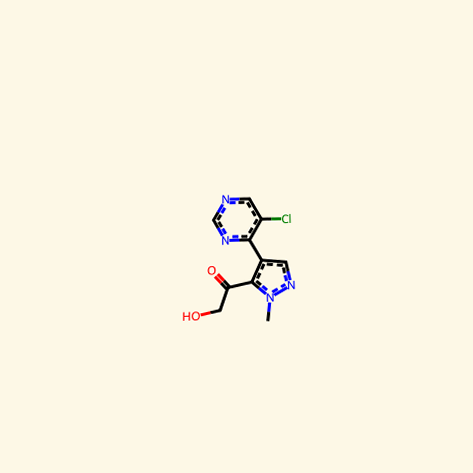 Cn1ncc(-c2ncncc2Cl)c1C(=O)CO